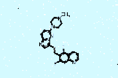 CN1CCN(c2ccc3ncc(CCc4c(F)cc5ncccc5c4F)n3n2)CC1